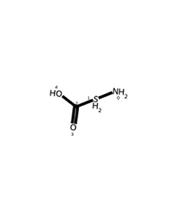 N[SH2]C(=O)O